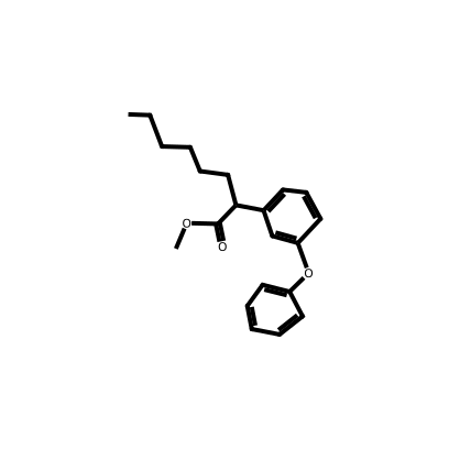 CCCCCCC(C(=O)OC)c1cccc(Oc2ccccc2)c1